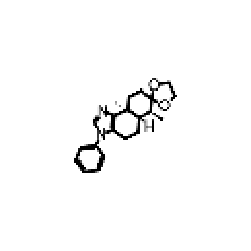 C[C@H]1[C@@H]2CCc3c(ncn3-c3ccccc3)[C@@]2(C)CCC12OCCO2